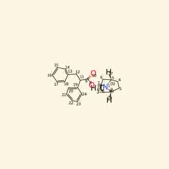 CN1[C@@H]2CC[C@H]1C[C@@H](OC(=O)C(Cc1ccccc1)c1ccccc1)C2